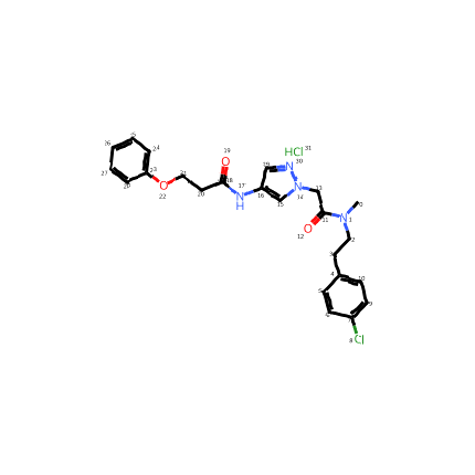 CN(CCc1ccc(Cl)cc1)C(=O)Cn1cc(NC(=O)CCOc2ccccc2)cn1.Cl